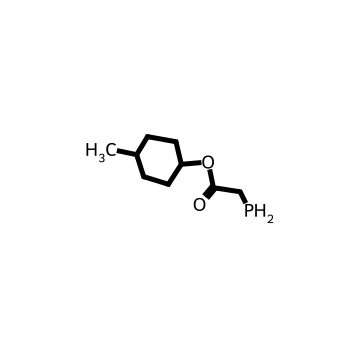 CC1CCC(OC(=O)CP)CC1